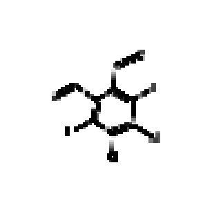 O=Cc1c(Cl)c(Cl)c(Cl)c(Cl)c1C=O